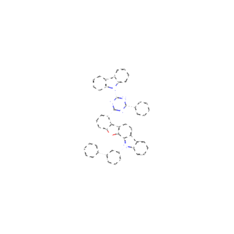 c1ccc(-c2cccc(-n3c4ccccc4c4ccc5c(oc6cccc(-c7nc(-c8ccccc8)nc(-n8c9ccccc9c9ccccc98)n7)c65)c43)c2)cc1